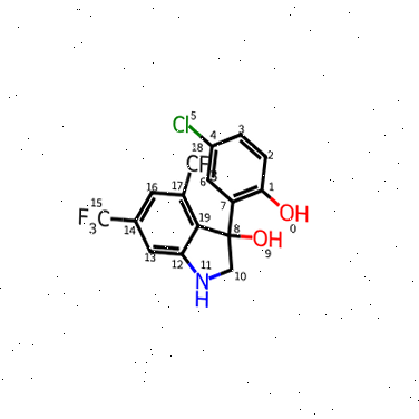 Oc1ccc(Cl)cc1C1(O)CNc2cc(C(F)(F)F)cc(C(F)(F)F)c21